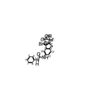 O=C(Nc1ccccc1)Nc1ccc2sc(C(F)(F)P(=O)(O)O)c(Br)c2c1